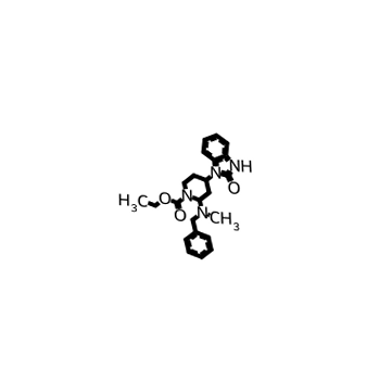 CCOC(=O)N1CCC(n2c(=O)[nH]c3ccccc32)CC1N(C)Cc1ccccc1